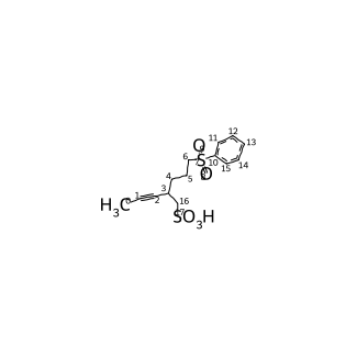 CC#CC(CCCS(=O)(=O)c1ccccc1)CS(=O)(=O)O